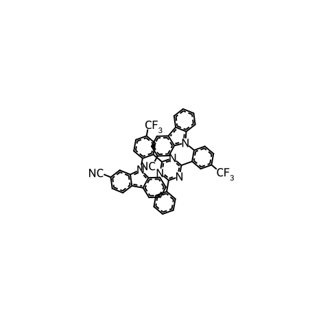 N#Cc1ccc2c3ccccc3n(-c3ccc(C(F)(F)F)cc3-c3nc(-c4ccccc4)nc(-c4cc(C(F)(F)F)ccc4-n4c5ccccc5c5ccc(C#N)cc54)n3)c2c1